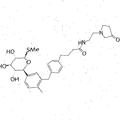 CS[C@H]1O[C@@H](c2ccc(C)c(Cc3ccc(CCCC(=O)NCCN4CCC(=O)C4)cc3)c2)[C@H](O)[C@@H](O)[C@@H]1O